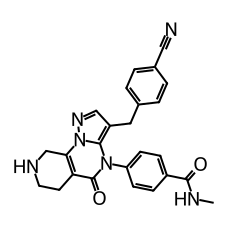 CNC(=O)c1ccc(-n2c(=O)c3c(n4ncc(Cc5ccc(C#N)cc5)c24)CNCC3)cc1